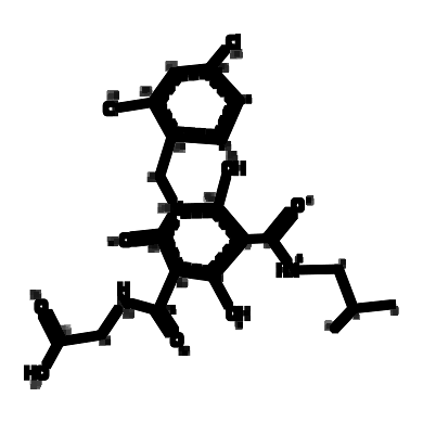 CC(C)CNC(=O)c1c(O)c(C(=O)NCC(=O)O)c(=O)n(Cc2ccc(Cl)cc2Cl)c1O